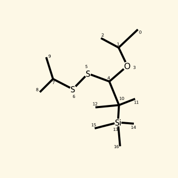 CC(C)OC(SSC(C)C)C(C)(C)[Si](C)(C)C